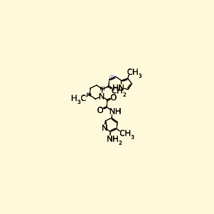 C=C(/C=C\c1[nH]ccc1C)[C@@H]1CC[C@@H](C)CN1C(=O)C(=O)Nc1cnc(N)c(C)c1